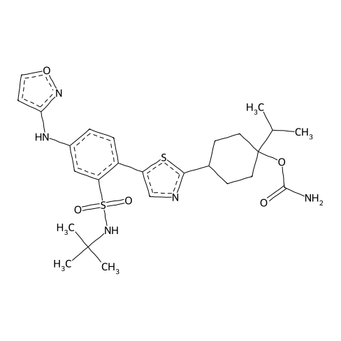 CC(C)C1(OC(N)=O)CCC(c2ncc(-c3ccc(Nc4ccon4)cc3S(=O)(=O)NC(C)(C)C)s2)CC1